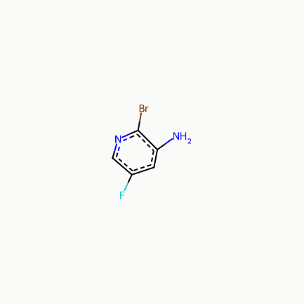 Nc1cc(F)cnc1Br